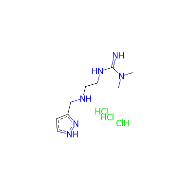 CN(C)C(=N)NCCNCc1cc[nH]n1.Cl.Cl.Cl